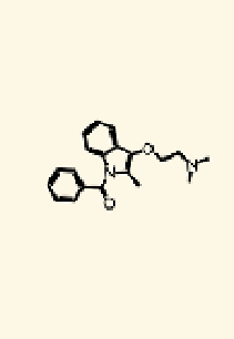 Cc1c(OCCN(C)C)c2ccccc2n1C(=O)c1ccccc1